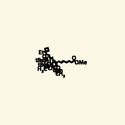 CCC1(C(CC=C[C@H]2[C@@H](CC=CCCCC(=O)OC)[C@H](OS(C)(=O)=O)C[C@H]2O[Si](C)(C)C(C)(C)C)O[Si](C)(C)C(C)(C)C)CCC1